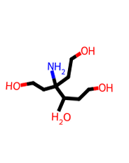 CC(CCO)C(N)(CCO)CCO.O